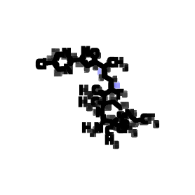 C=C(/C(F)=C\C=C(/C)c1cc(-c2ncc(Cl)cn2)no1)[C@]1(C)CC[S@@](=O)(=NCC(F)(F)F)C(C)(C)C(N)=N1